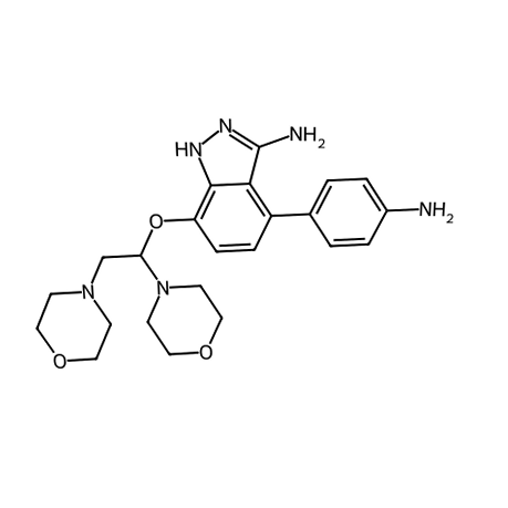 Nc1ccc(-c2ccc(OC(CN3CCOCC3)N3CCOCC3)c3[nH]nc(N)c23)cc1